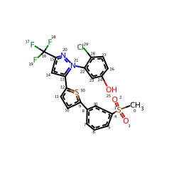 CS(=O)(=O)c1cccc(-c2ccc(-c3cc(C(F)(F)F)nn3-c3cc(O)ccc3Cl)s2)c1